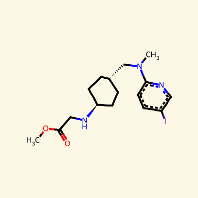 COC(=O)CN[C@H]1CC[C@H](CN(C)c2ccc(I)cn2)CC1